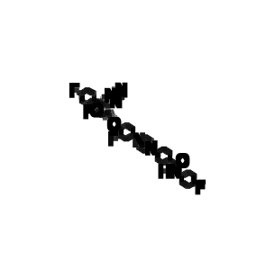 O=C(Nc1ccc(F)cc1)c1ccc(N2CCN(c3ccc(OC[C@@H]4CO[C@@](Cn5cncn5)(c5ccc(F)cc5F)C4)c(F)c3)CC2)cc1